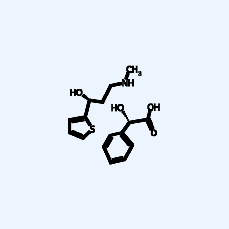 CNCC[C@H](O)c1cccs1.O=C(O)[C@@H](O)c1ccccc1